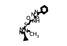 CCn1c(SCC(=O)Nc2nnc(-c3ccccc3)s2)nnc1C1CC1